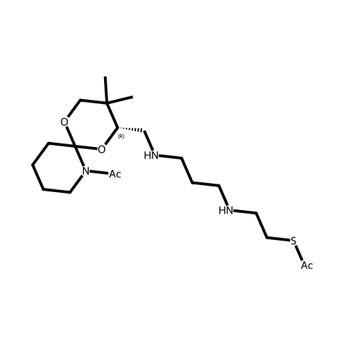 CC(=O)SCCNCCCNC[C@@H]1OC2(CCCCN2C(C)=O)OCC1(C)C